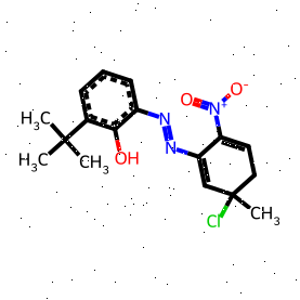 CC1(Cl)C=C(N=Nc2cccc(C(C)(C)C)c2O)C([N+](=O)[O-])=CC1